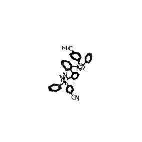 N#Cc1ccc(-n2c(-c3ccccc3)nnc2-c2ccccc2-c2ccccc2-c2nnc(-c3ccccc3)n2-c2ccc(C#N)cc2)cc1